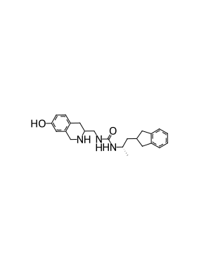 C[C@@H](CC1Cc2ccccc2C1)NC(=O)NCC1Cc2ccc(O)cc2CN1